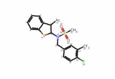 CC(=O)C1c2ccccc2SC1N(Cc1ccc(F)c(C(F)(F)F)c1)S(C)(=O)=O